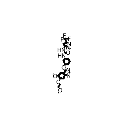 COCCOc1cc2ncnc(Oc3cccc(NC(=O)Nc4cc(C(F)(F)F)nn4C)c3)c2cc1OC